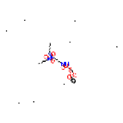 CCCCCCCn1c(=O)n(CCCCCCC)c(=O)n(CCCCCCNC(=O)OCCO/C=C\OC(=O)C(=O)c2ccccc2)c1=O